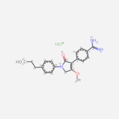 CC(C)OC1=C(c2ccc(C(=N)N)cc2)C(=O)N(c2ccc(CCC(=O)O)cc2)C1.Cl